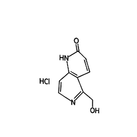 Cl.O=c1ccc2c(CO)nccc2[nH]1